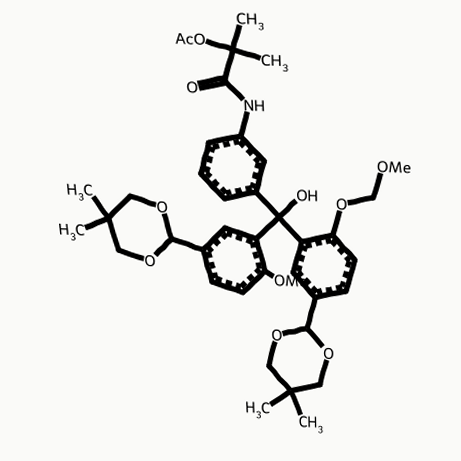 COCOc1ccc(C2OCC(C)(C)CO2)cc1C(O)(c1cccc(NC(=O)C(C)(C)OC(C)=O)c1)c1cc(C2OCC(C)(C)CO2)ccc1OC